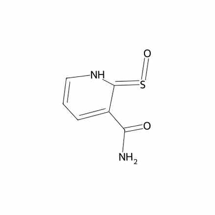 NC(=O)c1ccc[nH]c1=S=O